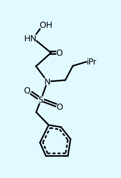 CC(C)CCN(CC(=O)NO)S(=O)(=O)Cc1ccccc1